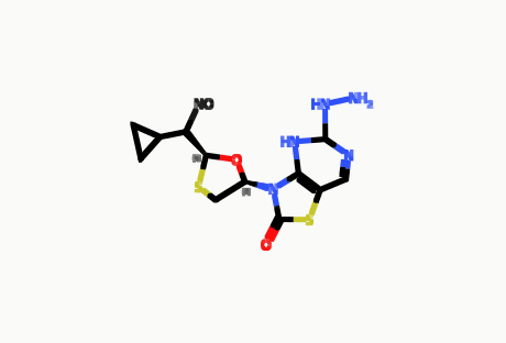 NNC1N=Cc2sc(=O)n([C@H]3CS[C@@H](C(N=O)C4CC4)O3)c2N1